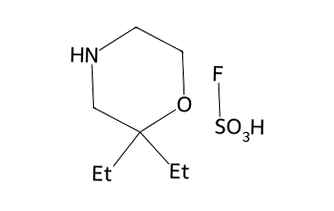 CCC1(CC)CNCCO1.O=S(=O)(O)F